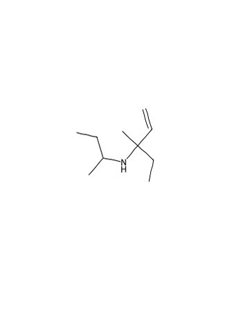 C=CC(C)(CC)NC(C)CC